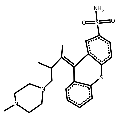 CC(=C1c2ccccc2Sc2ccc(S(N)(=O)=O)cc21)C(C)CN1CCN(C)CC1